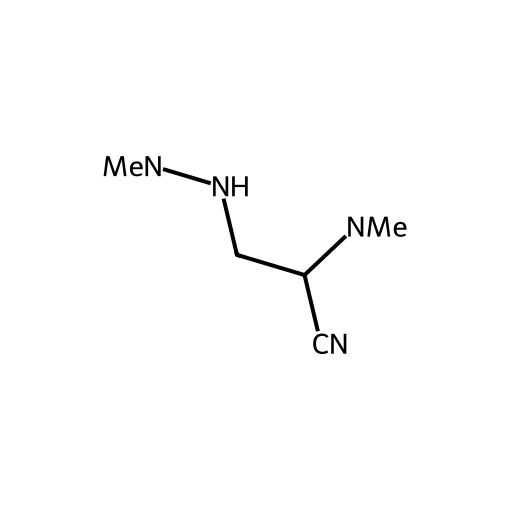 CNNCC(C#N)NC